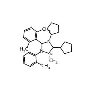 Cc1ccccc1N1C(c2c(C)cccc2C)N(C2CCCC2)C(C2CCCC2)[C@@H]1C